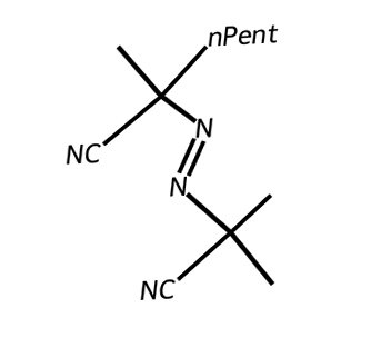 CCCCCC(C)(C#N)/N=N/C(C)(C)C#N